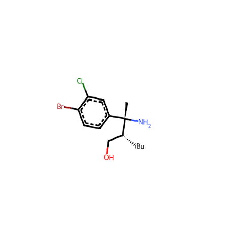 CCC(C)[C@H](CO)[C@@](C)(N)c1ccc(Br)c(Cl)c1